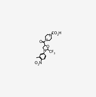 Cc1cc(N2CC(C(=O)N3CCN(C(=O)O)CC3)OC2C(F)(F)F)ccc1[N+](=O)[O-]